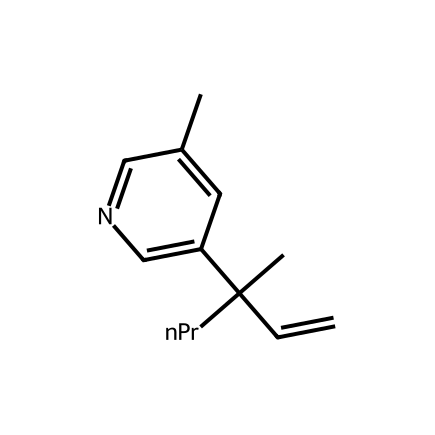 C=CC(C)(CCC)c1cncc(C)c1